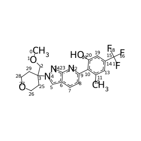 COCC1(n2cc3ccc(-c4c(C)cc(C(F)(F)F)cc4O)nc3n2)CCOCC1